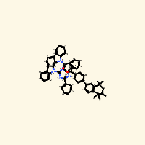 CC1CC(C)(C)c2cc(-c3ccc(-c4ccc(-n5c6ccccc6c6ccc7c8ccccc8n(-c8nc(-c9ccccc9)nc(-c9ccccc9)n8)c7c65)cc4)cc3)ccc2C1(C)C